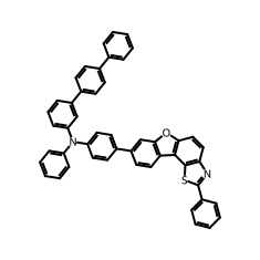 c1ccc(-c2ccc(-c3cccc(N(c4ccccc4)c4ccc(-c5ccc6c(c5)oc5ccc7nc(-c8ccccc8)sc7c56)cc4)c3)cc2)cc1